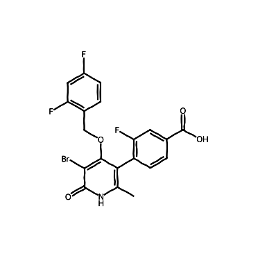 Cc1[nH]c(=O)c(Br)c(OCc2ccc(F)cc2F)c1-c1ccc(C(=O)O)cc1F